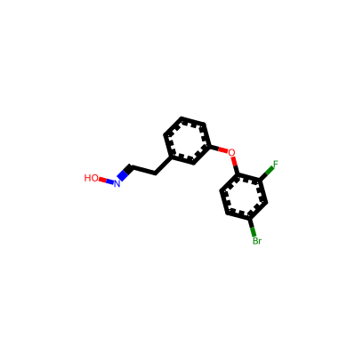 ON=CCc1cccc(Oc2ccc(Br)cc2F)c1